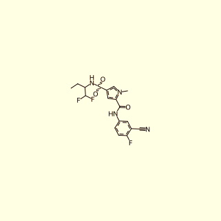 CCC(NS(=O)(=O)c1cc(C(=O)Nc2ccc(F)c(C#N)c2)n(C)c1)C(F)F